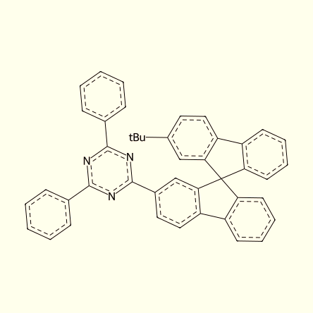 CC(C)(C)c1ccc2c(c1)C1(c3ccccc3-c3ccc(-c4nc(-c5ccccc5)nc(-c5ccccc5)n4)cc31)c1ccccc1-2